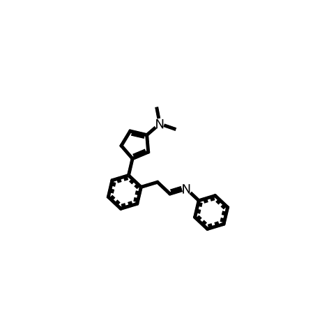 CN(C)C1=CCC(c2ccccc2CC=Nc2ccccc2)=C1